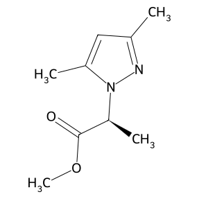 COC(=O)[C@H](C)n1nc(C)cc1C